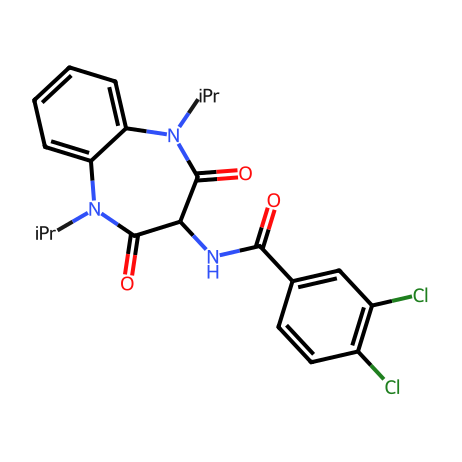 CC(C)N1C(=O)C(NC(=O)c2ccc(Cl)c(Cl)c2)C(=O)N(C(C)C)c2ccccc21